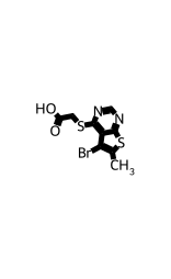 Cc1sc2ncnc(SCC(=O)O)c2c1Br